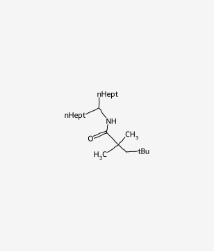 CCCCCCCC(CCCCCCC)NC(=O)C(C)(C)CC(C)(C)C